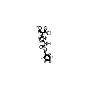 CO/N=C(\C(=O)Cl)c1csc(NC(=O)OCc2ccccc2)n1